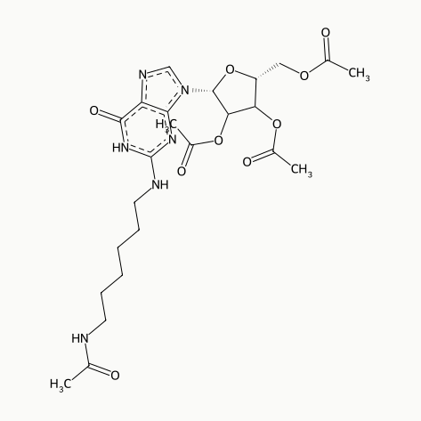 CC(=O)NCCCCCCNc1nc2c(ncn2[C@@H]2O[C@H](COC(C)=O)C(OC(C)=O)C2OC(C)=O)c(=O)[nH]1